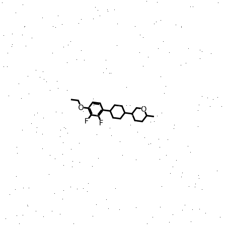 CCOc1ccc(C2CCC(C3CCC(C)OC3)CC2)c(F)c1F